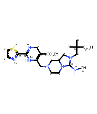 CCOC(=O)C1=C(CN2CCN3C(C2)CN(CC(C)(C)C(=O)O)C3NC#N)NC(c2nccs2)=NC1